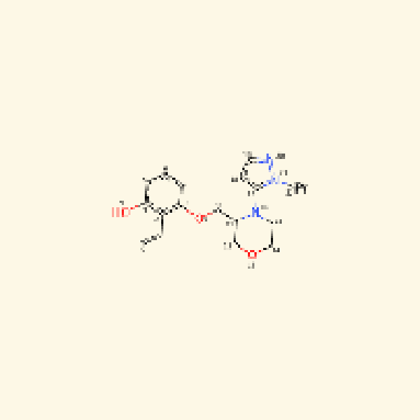 C=Cc1c(O)cccc1OCC1COCCN1c1ccnn1C(C)C